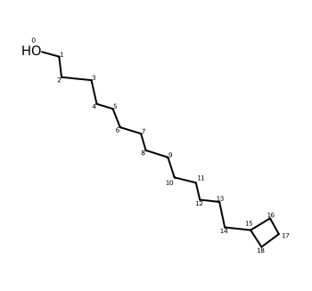 OCCCCCCCCCCCCCCC1CCC1